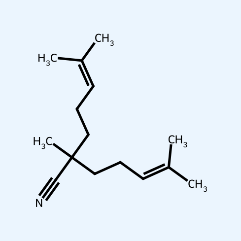 CC(C)=CCCC(C)(C#N)CCC=C(C)C